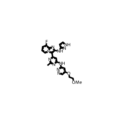 COCCOc1cnnc(Nc2cc(-c3c(Nc4cc[nH]n4)nc4c(F)cccn34)nc(C)n2)c1